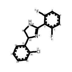 Fc1cccc(F)c1C1=NC(c2ccccc2Cl)CN1